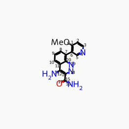 COc1ccncc1-c1cccc2c(N)c(C(N)=O)nnc12